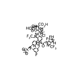 C[C@@H](OP(=O)(O)O)[C@H](NC(=O)N(c1nn(CC(F)(F)F)c2c(-c3ccc(C#CC(C)(C)S(C)(=O)=O)nc3[C@H](Cc3cc(F)cc(F)c3)NC(=O)Cn3nc(C(F)(F)F)c4c3C(F)(F)[C@@H]3C[C@H]43)ccc(Cl)c12)S(C)(=O)=O)C(=O)O